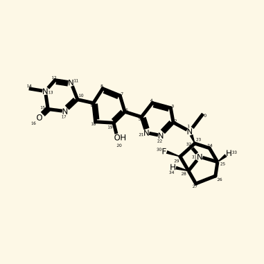 CN(c1ccc(-c2ccc(-c3ncn(C)c(=O)n3)cc2O)nn1)[C@H]1C[C@@H]2CC[C@H]([C@H]1F)N2C